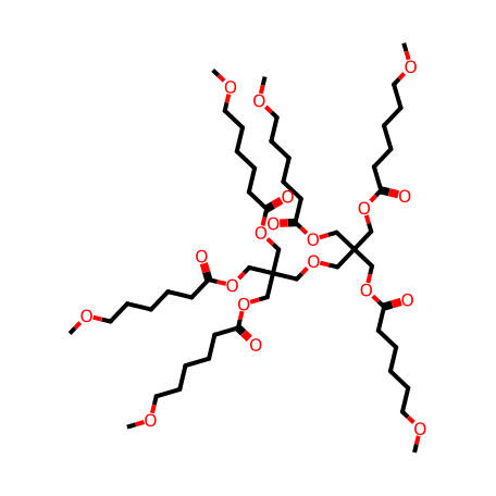 COCCCCCC(=O)OCC(COCC(COC(=O)CCCCCOC)(COC(=O)CCCCCOC)COC(=O)CCCCCOC)(COC(=O)CCCCCOC)COC(=O)CCCCCOC